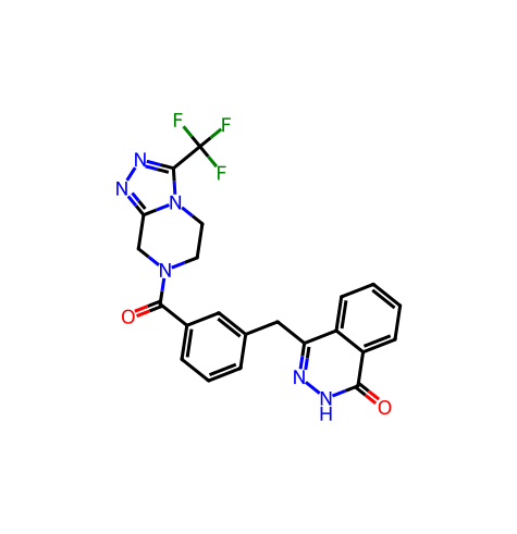 O=C(c1cccc(Cc2n[nH]c(=O)c3ccccc23)c1)N1CCn2c(nnc2C(F)(F)F)C1